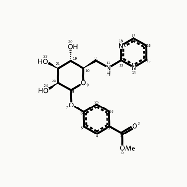 COC(=O)c1ccc(OC2O[C@H](CNc3ncccn3)[C@@H](O)[C@H](O)[C@@H]2O)cc1